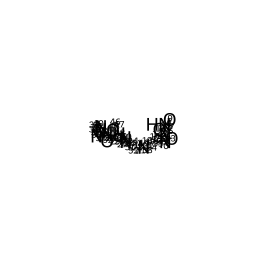 Cn1c(=O)n(C2CCC(=O)NC2=O)c2ccc(C3CCN(CC4CCC(n5cc6cc(C(=O)Nc7cnc8cccnn78)c(OC7CC7)cc6n5)CC4)CC3)cc21